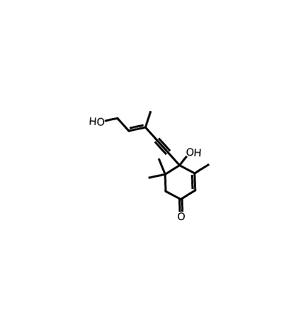 CC(C#CC1(O)C(C)=CC(=O)CC1(C)C)=CCO